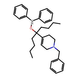 CCCCC(CCCC)(O[SiH](c1ccccc1)c1ccccc1)C1=CCN(Cc2ccccc2)CC1